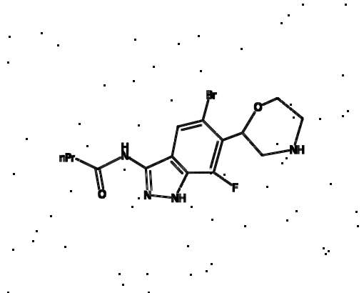 CCCC(=O)Nc1n[nH]c2c(F)c(C3CNCCO3)c(Br)cc12